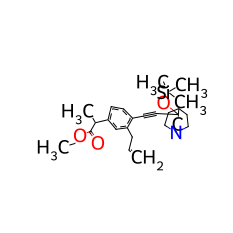 C=CCc1cc(C(C)C(=O)OCC)ccc1C#CC1(O[Si](C)(C)C)CN2CCC1CC2